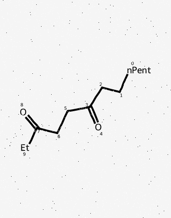 CCCCCCCC(=O)CCC(=O)CC